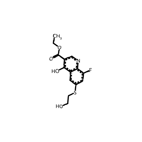 CCOC(=O)c1cnc2c(F)cc(SCCO)cc2c1O